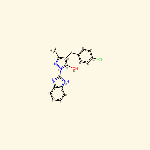 Cc1nn(-c2nc3ccccc3[nH]2)c(O)c1Cc1ccc(Cl)cc1